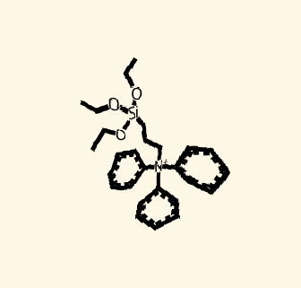 CCO[Si](CCC[N+](c1ccccc1)(c1ccccc1)c1ccccc1)(OCC)OCC